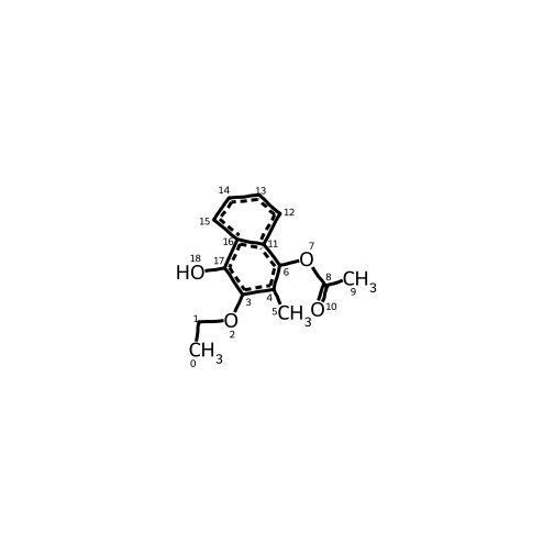 CCOc1c(C)c(OC(C)=O)c2ccccc2c1O